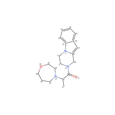 CC(C(=O)N1CCn2c(cc3ccccc32)C1)N1CCCOCC1